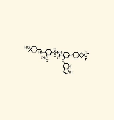 COC1(OC)CC2(CCN(c3ccc(C(=O)NS(=O)(=O)c4ccc(NCC5CCC(C)(O)CC5)c([N+](=O)[O-])c4)c(Oc4cnc5[nH]ccc5c4)c3)CC2)C1